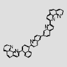 c1cnc2c(c1)ccc1ccc(-c3ccc4ccc(-c5ccc6nc(-c7ccc(-c8ccc9ccc%10cccnc%10c9n8)c8ccccc78)ccc6c5)cc4n3)nc12